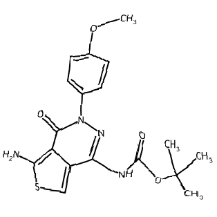 COc1ccc(-n2nc(NC(=O)OC(C)(C)C)c3csc(N)c3c2=O)cc1